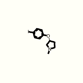 CN1CC[C@@H](Oc2ccc(I)cc2)C1